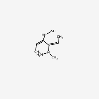 C/C=C(BS)\C(=C/C)N(C)N